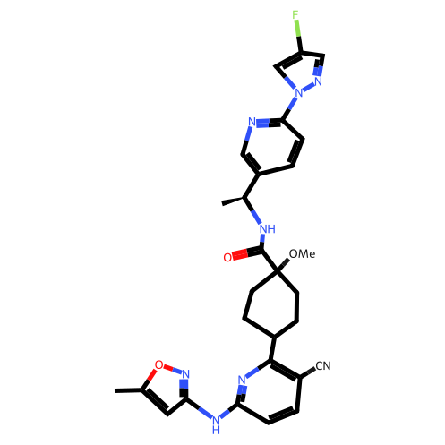 COC1(C(=O)N[C@@H](C)c2ccc(-n3cc(F)cn3)nc2)CCC(c2nc(Nc3cc(C)on3)ccc2C#N)CC1